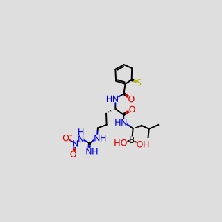 CC(C)C[C@H](NC(=O)[C@H](CCCNC(=N)N[N+](=O)[O-])NC(=O)C1=CC=CCC1=S)B(O)O